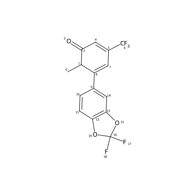 CC1C(=O)C=C(C(F)(F)F)C=C1c1ccc2c(c1)OC(F)(F)O2